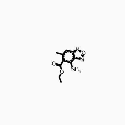 CCOC(=O)c1c(C)cc2nonc2c1N